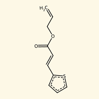 C=CCOC(=O)/C=C/c1cccs1